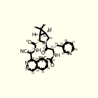 CC1(C)[C@@H]2[C@@H](C(=O)NC(C#N)c3nncc4ccccc34)N(C(=O)[C@H](Cc3cccnc3)NC(=O)C(F)(F)F)C[C@@H]21